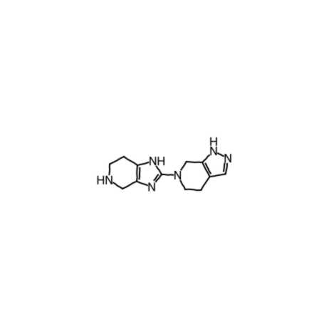 c1n[nH]c2c1CCN(c1nc3c([nH]1)CCNC3)C2